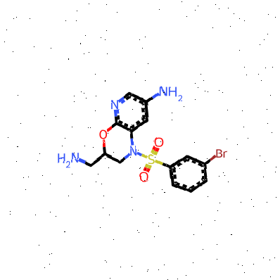 NCC1CN(S(=O)(=O)c2cccc(Br)c2)c2cc(N)cnc2O1